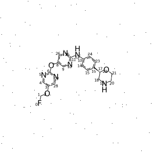 FCOc1cnc(Oc2cnc(Nc3ccc([C@@H]4CNCCO4)cc3)nc2)nc1